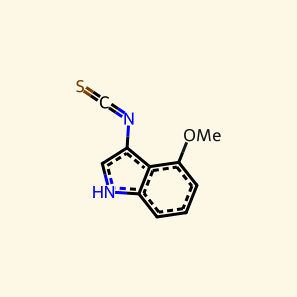 COc1cccc2[nH]cc(N=C=S)c12